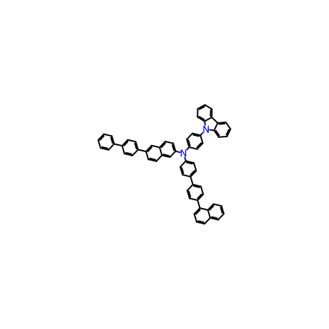 c1ccc(-c2ccc(-c3ccc4cc(N(c5ccc(-c6ccc(-c7cccc8ccccc78)cc6)cc5)c5ccc(-n6c7ccccc7c7ccccc76)cc5)ccc4c3)cc2)cc1